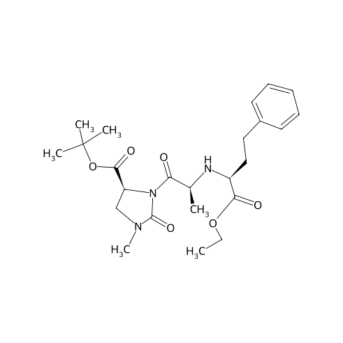 CCOC(=O)[C@H](CCc1ccccc1)N[C@@H](C)C(=O)N1C(=O)N(C)C[C@H]1C(=O)OC(C)(C)C